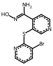 NC(=NO)c1ccncc1Sc1ncccc1Br